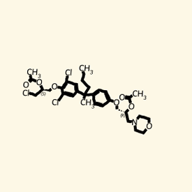 CCCCC(C)(c1ccc(OC[C@@H](CN2CCOCC2)OC(C)=O)cc1)c1cc(Cl)c(OC[C@@H](CCl)OC(C)=O)c(Cl)c1